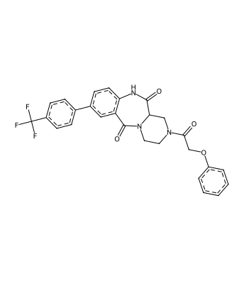 O=C1Nc2ccc(-c3ccc(C(F)(F)F)cc3)cc2C(=O)N2CCN(C(=O)COc3ccccc3)CC12